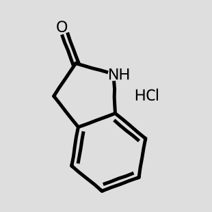 Cl.O=C1Cc2ccccc2N1